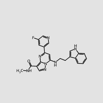 CNC(=O)c1cnn2c(NCCc3c[nH]c4ccccc34)cc(-c3cncc(F)c3)nc12